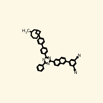 CC1CCCC2(c3ccc(-c4ccc(-c5nc(-c6ccccc6)nc(-c6ccc7cc(-c8cc(C#N)cc(C#N)c8)ccc7c6)n5)cc4)cc3)CC(C1)C2